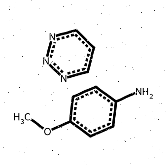 COc1ccc(N)cc1.c1cnnnc1